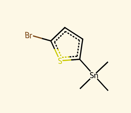 [CH3][Sn]([CH3])([CH3])[c]1ccc(Br)s1